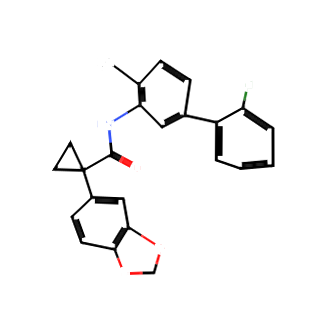 Cc1ccc(-c2ccccc2Cl)cc1NC(=O)C1(c2ccc3c(c2)OCO3)CC1